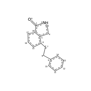 O=c1[nH]ccc2c(SCc3ccccc3)cccc12